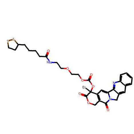 CCC1(OC(=O)OCCOCCNC(=O)CCCCC2CCSS2)C(=O)OCc2c1cc1n(c2=O)Cc2cc3ccccc3nc2-1